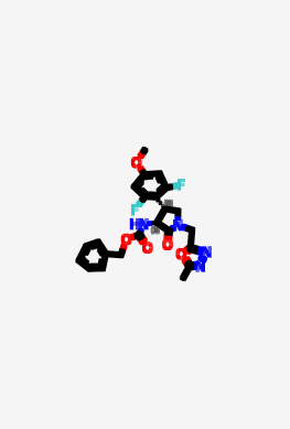 COc1cc(F)c([C@@H]2CN(Cc3nnc(C)o3)C(=O)[C@H]2NC(=O)OCc2ccccc2)c(F)c1